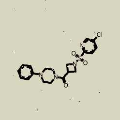 O=C(C1CN(S(=O)(=O)c2ccc(Cl)cn2)C1)N1CCN(c2ccccc2)CC1